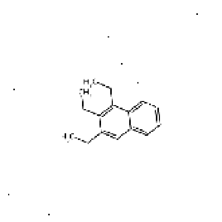 CCc1cc2ccccc2c(CC)c1CC